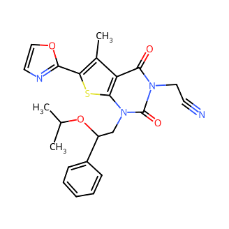 Cc1c(-c2ncco2)sc2c1c(=O)n(CC#N)c(=O)n2CC(OC(C)C)c1ccccc1